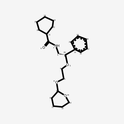 O=C(NC[C@@H](OCCOC1CCCCO1)c1ccccc1)C1CCCCC1